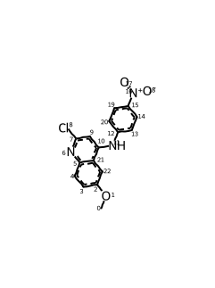 COc1ccc2nc(Cl)cc(Nc3ccc([N+](=O)[O-])cc3)c2c1